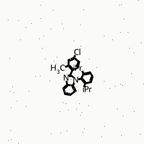 Cc1cc(Cl)ccc1-c1nc2ccccc2n1-c1c(C(C)C)cccc1C(C)C